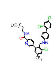 CCOC(=O)CCNC(=O)c1ccc(-c2cc(C(F)(F)F)cc(Cl)c2CNc2ccc(-c3ccc(Cl)cc3Cl)cc2)cn1